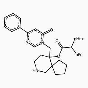 CCCCCCC(CCC)C(=O)OC1(Cn2cnc(-c3ccccc3)cc2=O)CCNCC12CCCC2